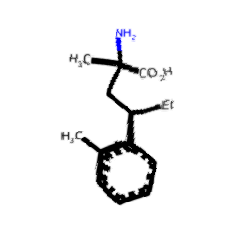 CCC(CC(C)(N)C(=O)O)c1ccccc1C